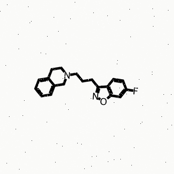 Fc1ccc2c(CCCN3CCc4ccccc4C3)noc2c1